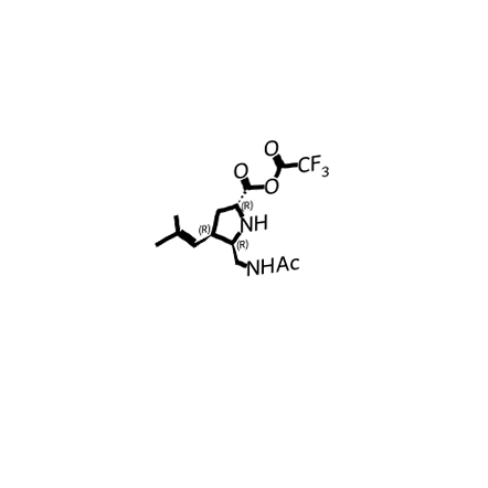 CC(=O)NC[C@@H]1N[C@@H](C(=O)OC(=O)C(F)(F)F)C[C@@H]1C=C(C)C